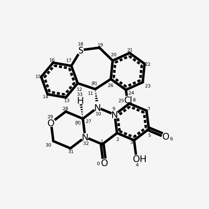 O=C1c2c(O)c(=O)ccn2N([C@@H]2c3ccccc3SCc3cccc(Cl)c32)[C@@H]2COCCN12